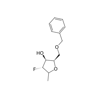 CC1O[C@H](COCc2ccccc2)[C@H](O)[C@H]1F